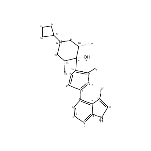 Cc1nc(-c2ccnc3[nH]cc(F)c23)ccc1[C@@]1(O)[C@H](C)CN(C2CCC2)C[C@@H]1C